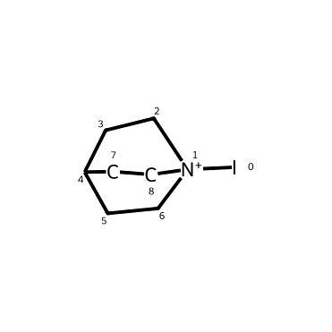 I[N+]12CCC(CC1)CC2